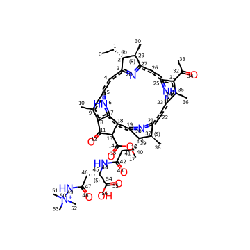 CC[C@H]1c2cc3[nH]c4c(c3C)C(=O)C(C(=O)OC)c4c3nc(cc4[nH]c(cc(n2)[C@@H]1C)c(C(C)=O)c4C)[C@@H](C)[C@@H]3CCC(=O)N[C@@H](CC(=O)N[N+](C)(C)C)C(=O)O